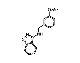 COc1cccc(CNc2nsc3ccccc23)c1